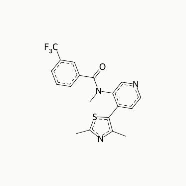 Cc1nc(C)c(-c2ccncc2N(C)C(=O)c2cccc(C(F)(F)F)c2)s1